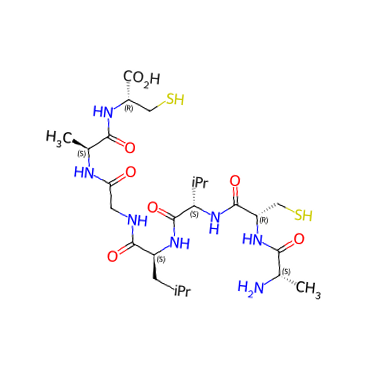 CC(C)C[C@H](NC(=O)[C@@H](NC(=O)[C@H](CS)NC(=O)[C@H](C)N)C(C)C)C(=O)NCC(=O)N[C@@H](C)C(=O)N[C@@H](CS)C(=O)O